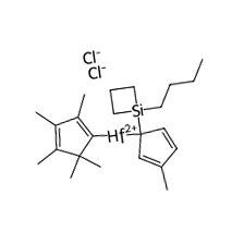 CCCC[Si]1([C]2([Hf+2][C]3=C(C)C(C)=C(C)C3(C)C)C=CC(C)=C2)CCC1.[Cl-].[Cl-]